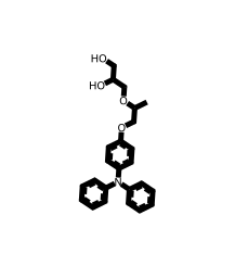 CC(COc1ccc(N(c2ccccc2)c2ccccc2)cc1)OCC(O)CO